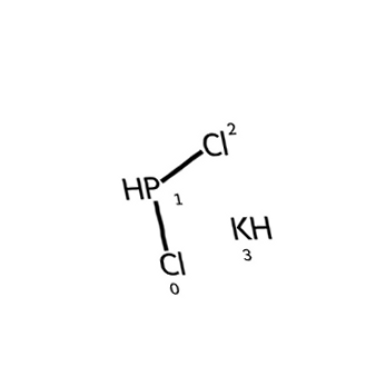 ClPCl.[KH]